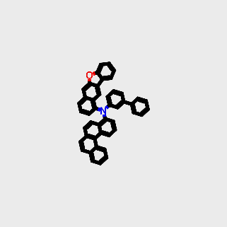 c1ccc(-c2cccc(N(c3cccc4cc5oc6ccccc6c5cc34)c3cccc4c3ccc3ccc5ccccc5c34)c2)cc1